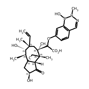 C=C[C@]1(C)C[C@@H](C(Oc2ccc3c(c2)B(O)N(C)N=C3)C(=O)O)[C@@]2(C)[C@H](C)CC[C@]3(C[C@H](O)C(=O)[C@H]32)[C@@H](C)[C@@H]1O